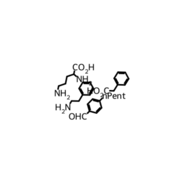 CCCCCc1ccc(C=O)cc1.NCCCC(N)C(=O)O.NCCc1ccccc1.O=C(O)Cc1ccccc1